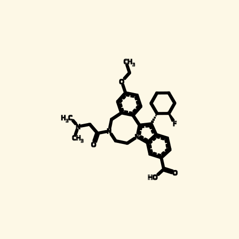 CCOc1ccc2c(c1)CN(C(=O)CN(C)C)CCn1c-2c([C@@H]2CCCC[C@H]2F)c2ccc(C(=O)O)cc21